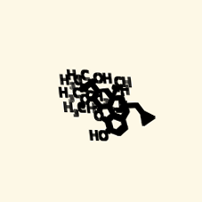 C#C[C@]12C[C@H]([C@](C)(O)C(C)(C)C)C(OC)[C@@H]3Oc4c(O)ccc5c4[C@@]31CCN(CC1CC1)[C@@H]2C5